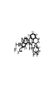 FC1(F)CCN(C2CCc3ccccc3C2Nc2ncnc3[nH]c(C(F)(F)F)cc23)CC1